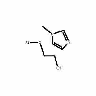 CCOCCO.Cn1ccnc1